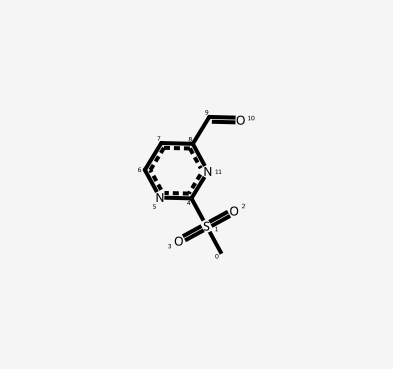 CS(=O)(=O)c1n[c]cc(C=O)n1